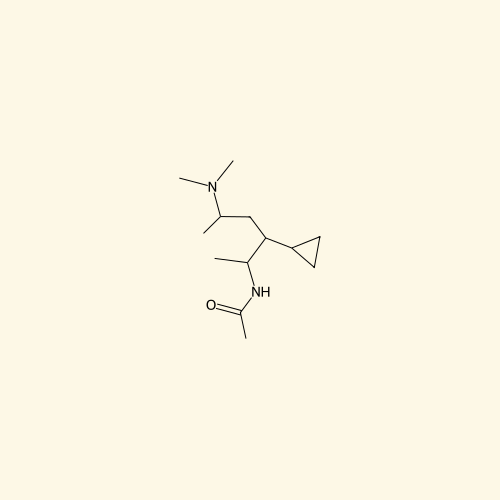 CC(=O)NC(C)C(CC(C)N(C)C)C1CC1